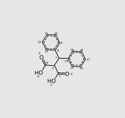 O=C(O)C(C(=O)O)C(c1ccccc1)c1ccccc1